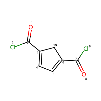 O=C(Cl)C1=CC=C(C(=O)Cl)C1